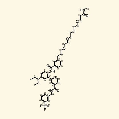 CCN(CC)c1ccc(NC(=O)c2cccc(CCCOCCOCCOCCOCCC(=O)NC)c2)c(-c2cc(C(=O)NCc3cccc(C(F)(F)F)c3)ccn2)c1